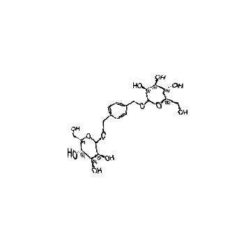 OC[C@H]1OC(OCc2ccc(COC3O[C@H](CO)[C@@H](O)[C@H](O)[C@@H]3O)cc2)[C@@H](O)[C@@H](O)[C@@H]1O